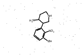 CC(C)(C)c1cccc(C2CNCCC2N)c1[N+](=O)[O-]